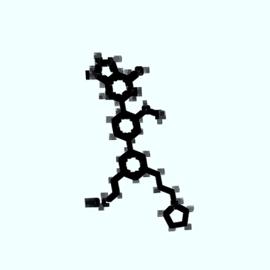 CCOc1cc(-c2cc(/C=C/C(=O)O)cc(CCCN3CCCC3)c2)ccc1-c1nc2[nH]nnc2c(=O)[nH]1